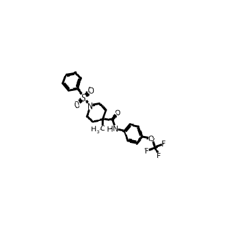 CC1(C(=O)Nc2ccc(OC(F)(F)F)cc2)CCN(S(=O)(=O)c2ccccc2)CC1